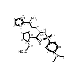 CN(C)c1ccc(S(=O)(=O)N[C@@H](CC[C@H](N)c2ncc[nH]2)C(=O)N2CCC[C@H]2OC(=O)O)cc1